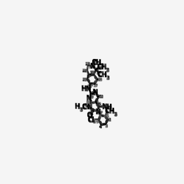 Cc1cccc(Cl)c1-n1c(=N)c2cnc(Nc3ccc4c(c3)CCN(C)C4(C)C)nc2n(C)c1=O